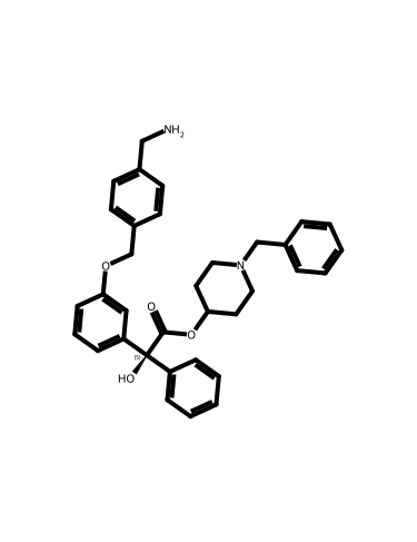 NCc1ccc(COc2cccc([C@](O)(C(=O)OC3CCN(Cc4ccccc4)CC3)c3ccccc3)c2)cc1